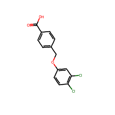 O=C(O)c1ccc(COc2ccc(Cl)c(Cl)c2)cc1